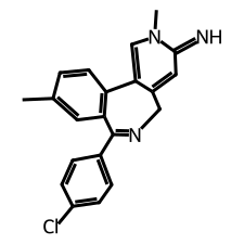 Cc1ccc2c(c1)C(c1ccc(Cl)cc1)=NCc1cc(=N)n(C)cc1-2